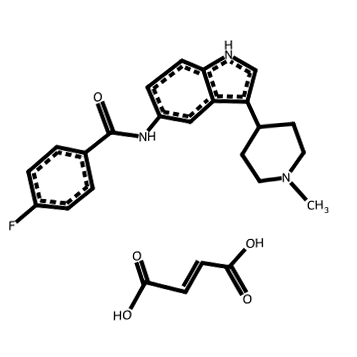 CN1CCC(c2c[nH]c3ccc(NC(=O)c4ccc(F)cc4)cc23)CC1.O=C(O)C=CC(=O)O